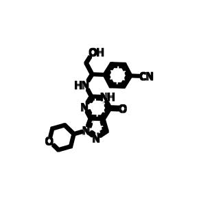 N#Cc1ccc(C(CO)Nc2nc3c(cnn3C3CCOCC3)c(=O)[nH]2)cc1